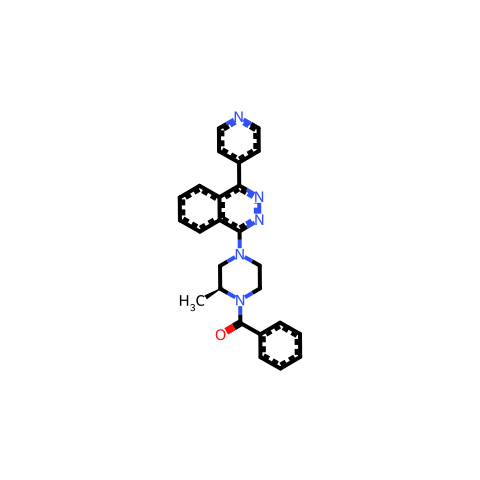 C[C@H]1CN(c2nnc(-c3ccncc3)c3ccccc23)CCN1C(=O)c1ccccc1